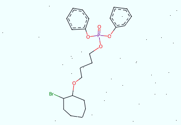 O=P(OCCCCOC1CCCCCC1Br)(Oc1ccccc1)Oc1ccccc1